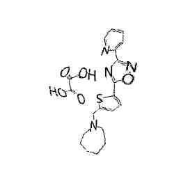 O=C(O)C(=O)O.c1ccc(-c2noc(-c3ccc(CN4CCCCCC4)s3)n2)nc1